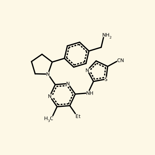 CCc1c(C)nc(N2CCCC2c2ccc(CN)cc2)nc1Nc1ncc(C#N)s1